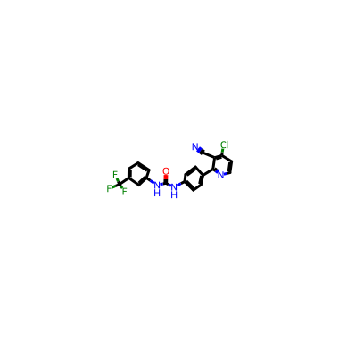 N#Cc1c(Cl)ccnc1-c1ccc(NC(=O)Nc2cccc(C(F)(F)F)c2)cc1